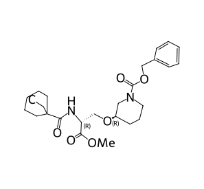 COC(=O)[C@@H](CO[C@@H]1CCCN(C(=O)OCc2ccccc2)C1)NC(=O)C12CCC(CC1)CC2